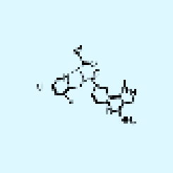 CN(C(=O)C1CC1)N(Cc1ncc(Cl)cc1F)C(=O)c1ccc2nc(N)c3cnn(C)c3c2c1